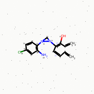 C=C/C=C\C(=C(\O)C=C)N1CN1c1ccc(Cl)cc1N